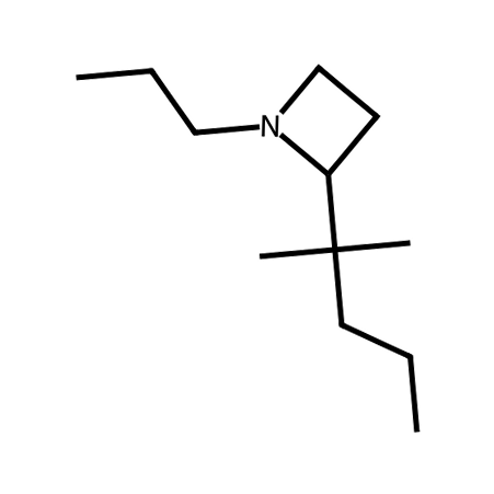 CCCN1CCC1C(C)(C)CCC